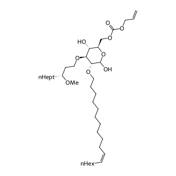 C=CCOC(=O)OC[C@H]1OC(O)[C@H](OCCCCCCCCCC/C=C\CCCCCC)[C@@H](OCC[C@@H](CCCCCCC)OC)[C@@H]1O